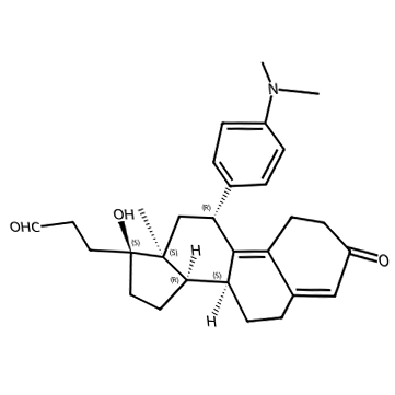 CN(C)c1ccc([C@H]2C[C@@]3(C)[C@H](CC[C@]3(O)CCC=O)[C@@H]3CCC4=CC(=O)CCC4=C32)cc1